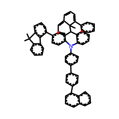 CC1(C)c2ccccc2-c2c(-c3ccc(N(c4ccc(-c5ccc(-c6cccc7ccccc67)cc5)cc4)c4ccccc4C4C=CC=C5C=CC=C(c6ccccc6)C54C)cc3)cccc21